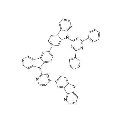 c1ccc(-c2cc(-n3c4ccccc4c4ccc(-c5ccc6c(c5)c5ccccc5n6-c5nccc(-c6ccc7sc8cccnc8c7c6)n5)cc43)cc(-c3ccccc3)n2)cc1